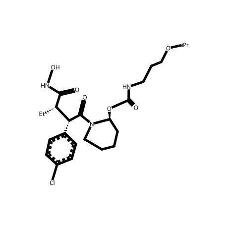 CC[C@H](C(=O)NO)[C@H](C(=O)N1CCCC[C@@H]1OC(=O)NCCCOC(C)C)c1ccc(Cl)cc1